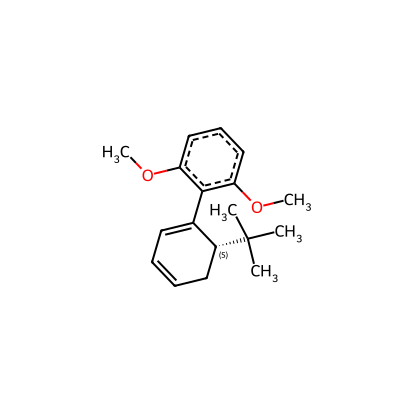 COc1cccc(OC)c1C1=CC=CC[C@H]1C(C)(C)C